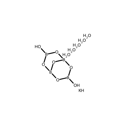 O.O.O.O.O.OB1OB2OB(O)OB(O1)O2.[KH]